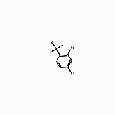 CCc1ccc(C(C)(C)[O])c(CC)c1